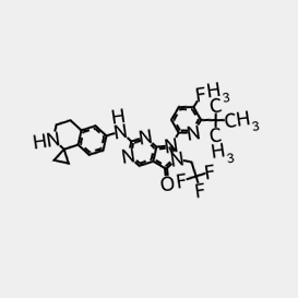 CC(C)(C)c1nc(-n2c3nc(Nc4ccc5c(c4)CCNC54CC4)ncc3c(=O)n2CC(F)(F)F)ccc1F